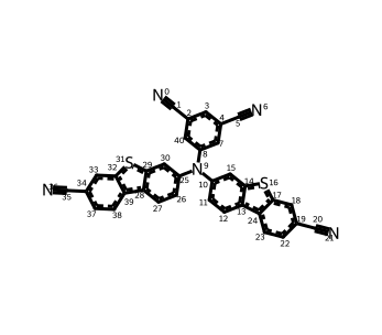 N#Cc1cc(C#N)cc(N(c2ccc3c(c2)sc2cc(C#N)ccc23)c2ccc3c(c2)sc2cc(C#N)ccc23)c1